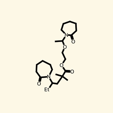 CCC(CC(C)(C)C(=O)OCCOC(C)N1CCCCCC1=O)N1CCCCCC1=O